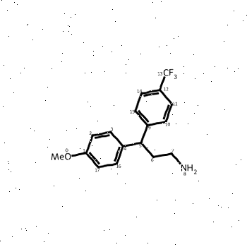 COc1ccc(C(CCN)c2ccc(C(F)(F)F)cc2)cc1